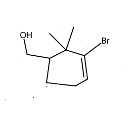 CC1(C)C(Br)=CCCC1CO